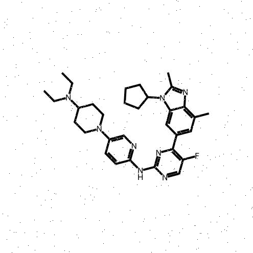 CCN(CC)C1CCN(c2ccc(Nc3ncc(F)c(-c4cc(C)c5nc(C)n(C6CCCC6)c5c4)n3)nc2)CC1